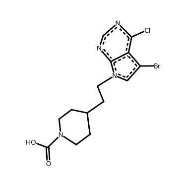 O=C(O)N1CCC(CCn2cc(Br)c3c(Cl)ncnc32)CC1